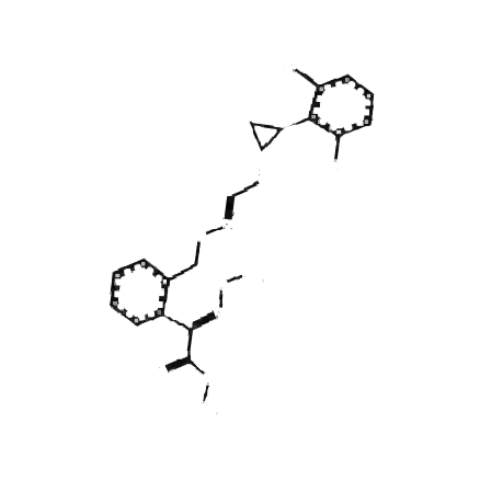 CO/N=C(/C(=O)OC)c1ccccc1CO/N=C/C[C@@H]1C[C@H]1c1c(Cl)cccc1Cl